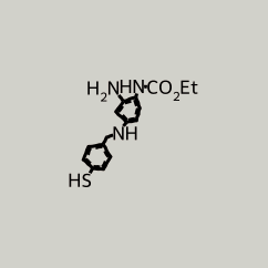 CCOC(=O)Nc1ccc(NCc2ccc(S)cc2)cc1N